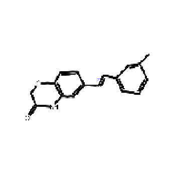 Cc1cccc(/C=C/c2ccc3c(c2)NC(=O)CO3)c1